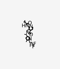 Cc1cc(C(C)N2Cc3c(ccnc3NC(=O)C3CC3)C2=O)cnc1CCC(F)(F)F